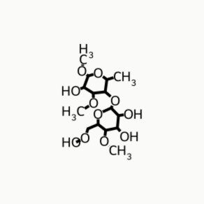 COC1OC(C)C(OC2OC(COO)C(OC)C(O)C2O)C(OC)C1O